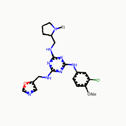 CCN1CCCC1CNc1nc(NCc2cnco2)nc(Nc2ccc(OC)c(Cl)c2)n1